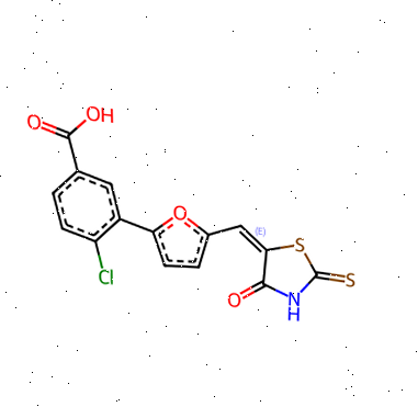 O=C1NC(=S)S/C1=C/c1ccc(-c2cc(C(=O)O)ccc2Cl)o1